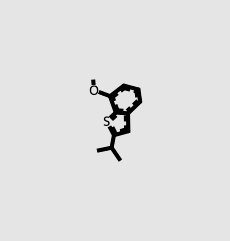 COc1cccc2cc(C(C)C)sc12